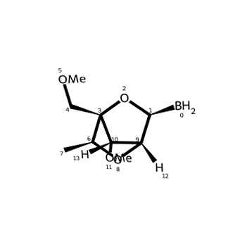 B[C@@H]1O[C@@]2(COC)[C@H](C)O[C@@H]1[C@@H]2OC